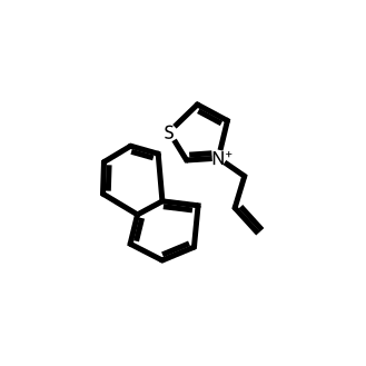 C=CC[n+]1ccsc1.c1ccc2ccccc2c1